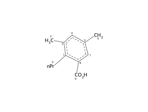 CCCc1c(C)cc(C)cc1C(=O)O